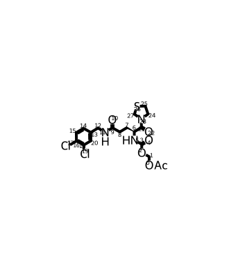 CC(=O)OCOC(=O)N[C@@H](CCC(=O)NCc1ccc(Cl)c(Cl)c1)C(=O)N1CCSC1